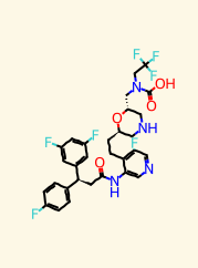 O=C(C[C@@H](c1ccc(F)cc1)c1cc(F)cc(F)c1)Nc1cncc(F)c1CC[C@@H]1CNC[C@@H](CN(CC(F)(F)F)C(=O)O)O1